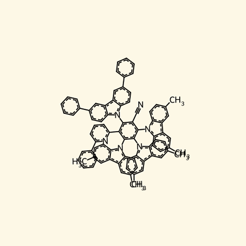 Cc1ccc2c(c1)c1cc(C)ccc1n2-c1c(C#N)c(-n2c3ccc(-c4ccccc4)cc3c3cc(-c4ccccc4)ccc32)c(-c2cccc(-c3ccccc3)n2)c(-n2c3ccc(C)cc3c3cc(C)ccc32)c1-n1c2ccc(C)cc2c2cc(C)ccc21